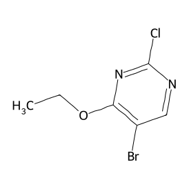 CCOc1nc(Cl)ncc1Br